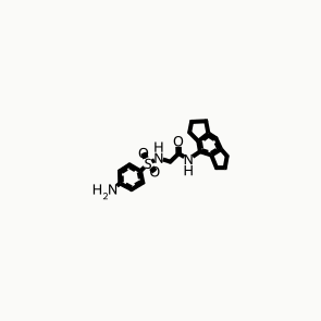 Nc1ccc(S(=O)(=O)NCC(=O)Nc2c3c(cc4c2CCC4)CCC3)cc1